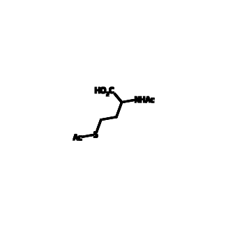 CC(=O)NC(CCSC(C)=O)C(=O)O